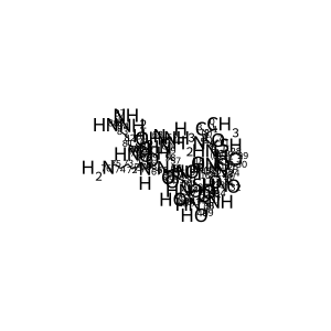 CC[C@H](C)[C@H](N)C(=O)N[C@@H](CS)C(=O)N[C@@H](CC(=O)O)C(=O)N[C@@H](Cc1ccccc1)C(=O)NCC(=O)N[C@@H](CO)C(=O)N[C@@H](CO)C(=O)N[C@@H](CS)C(=O)N[C@@H](CCCNC(=N)N)C(=O)NCC(=O)N[C@@H](CCCCN)C(=O)N[C@@H](CCCNC(=N)N)C(=O)O